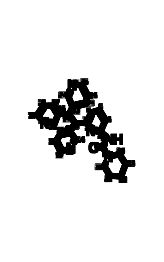 O=C(Nc1cccc(C(c2cccnc2)C(c2cccnc2)c2cccnc2)n1)N1CCCCC1